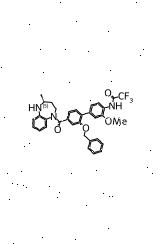 COc1cc(-c2ccc(C(=O)N3CC[C@H](C)Nc4ccccc43)cc2OCc2ccccc2)ccc1NC(=O)C(F)(F)F